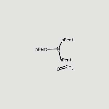 C=O.CCCCCN(CCCCC)CCCCC